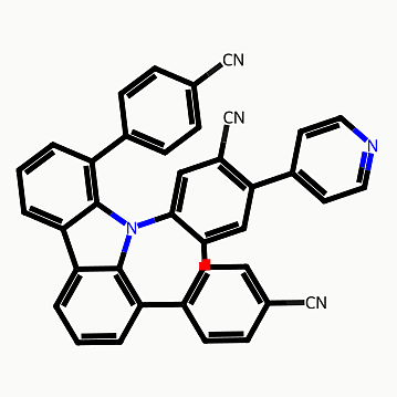 Cc1cc(-c2ccncc2)c(C#N)cc1-n1c2c(-c3ccc(C#N)cc3)cccc2c2cccc(-c3ccc(C#N)cc3)c21